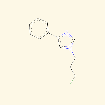 ClCCCn1cnc(-c2ccccc2)c1